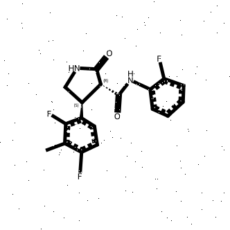 Cc1c(F)ccc([C@H]2CNC(=O)[C@@H]2C(=O)Nc2ccccc2F)c1F